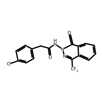 O=C(Cc1ccc(Cl)cc1)Nn1nc(C(F)(F)F)c2ccccc2c1=O